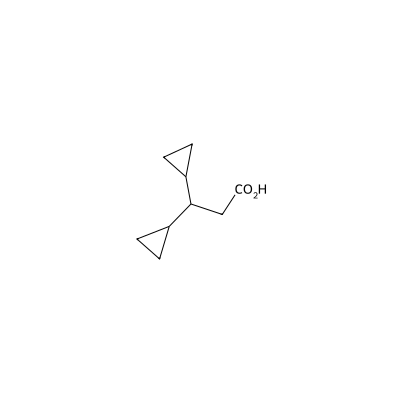 O=C(O)CC(C1CC1)C1CC1